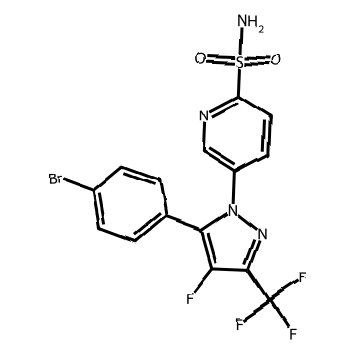 NS(=O)(=O)c1ccc(-n2nc(C(F)(F)F)c(F)c2-c2ccc(Br)cc2)cn1